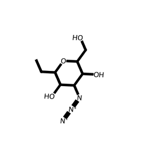 CCC1OC(CO)C(O)C(N=[N+]=[N-])C1O